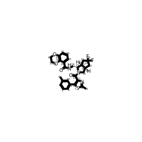 Cc1cccc(-c2sc(C)nc2C(=O)N2C[C@@H]3CC(F)(F)C[C@@H]3[C@H]2CNC(=O)c2cccc3c2OCCO3)c1